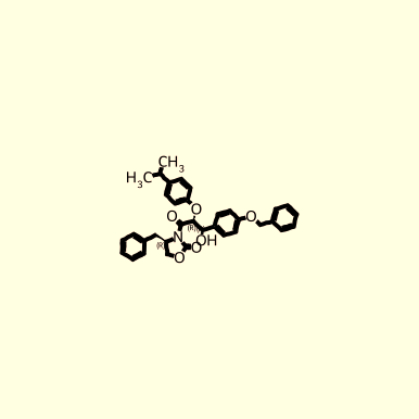 CC(C)c1ccc(O[C@@H](C(=O)N2C(=O)OC[C@H]2Cc2ccccc2)[C@H](O)c2ccc(OCc3ccccc3)cc2)cc1